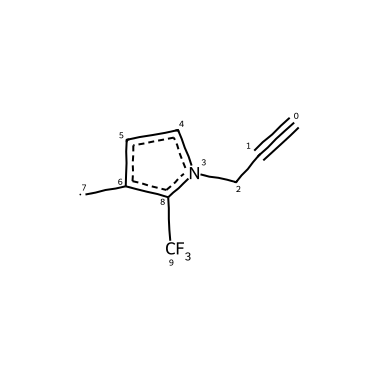 C#CCn1ccc([CH2])c1C(F)(F)F